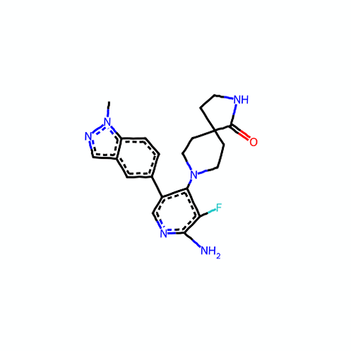 Cn1ncc2cc(-c3cnc(N)c(F)c3N3CCC4(CCNC4=O)CC3)ccc21